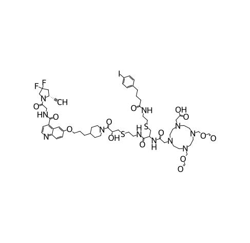 C#C[C@H]1CC(F)(F)CN1C(=O)CNC(=O)c1ccnc2ccc(OCCCC3CCN(C(=O)[C@H](O)CSCCNC(=O)C(CSCCNC(=O)CCCc4ccc(I)cc4)NC(=O)CN4CCN(COC=O)CCN(COC=O)CCN(CC(=O)O)CC4)CC3)cc12